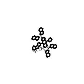 CC1(C)c2ccccc2-c2ccc(-c3c4ccc(N(c5ccc6c(c5)C=CCC6)c5ccc6c(c5)CCC=C6)cc4c(-c4ccccc4)c4ccc(N(c5ccc6c(c5)C=CCC6)c5ccc6ccccc6c5)cc34)cc21